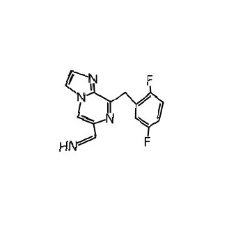 N=Cc1cn2ccnc2c(Cc2cc(F)ccc2F)n1